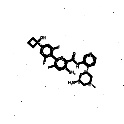 C[C@@H]1C[C@@H](N)C[C@H](c2ccncc2NC(=O)c2nc(-c3c(F)cc(C4(O)CCC4)cc3F)c(F)cc2N)C1